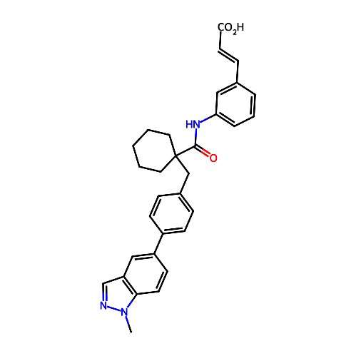 Cn1ncc2cc(-c3ccc(CC4(C(=O)Nc5cccc(/C=C/C(=O)O)c5)CCCCC4)cc3)ccc21